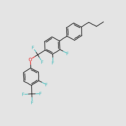 CCCc1ccc(-c2ccc(C(F)(F)Oc3ccc(C(F)(F)F)c(F)c3)c(F)c2F)cc1